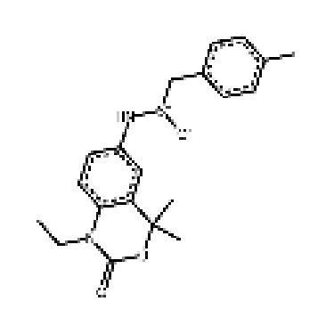 CCN1C(=O)OC(C)(C)c2cc(N[S+]([O-])Cc3ccc(C)cc3)ccc21